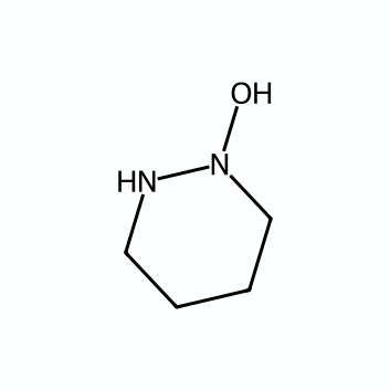 ON1CCCCN1